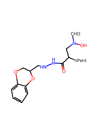 CCCCCC(CN(O)C=O)C(=O)NNCC1COc2ccccc2O1